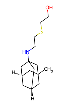 CC12C[C@H]3C[C@@H](C1)CC(NCCSCCO)(C3)C2